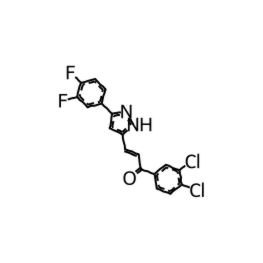 O=C(/C=C/c1cc(-c2ccc(F)c(F)c2)n[nH]1)c1ccc(Cl)c(Cl)c1